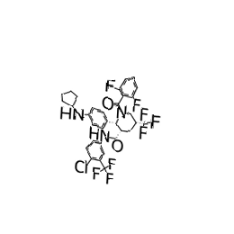 O=C(Nc1ccc(Cl)c(C(F)(F)F)c1)[C@H]1C[C@@H](C(F)(F)F)CN(C(=O)c2c(F)cccc2F)[C@H]1c1ccc(NC2CCCC2)cc1